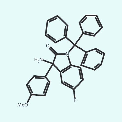 COc1ccc(C2(N)C(=O)N(C(c3ccccc3)(c3ccccc3)c3ccccc3)c3ccc(F)cc32)cc1